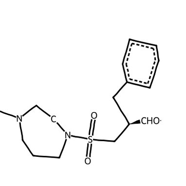 CN1CCCN(S(=O)(=O)C[C@H]([C]=O)Cc2ccccc2)CC1